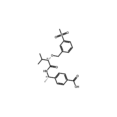 CC(C)[C@H](OCc1cccc(S(C)(=O)=O)c1)C(=O)N[C@@H](C)c1ccc(C(=O)O)cc1